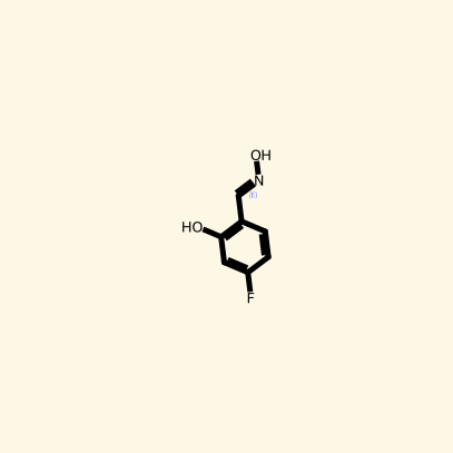 O/N=C/c1ccc(F)cc1O